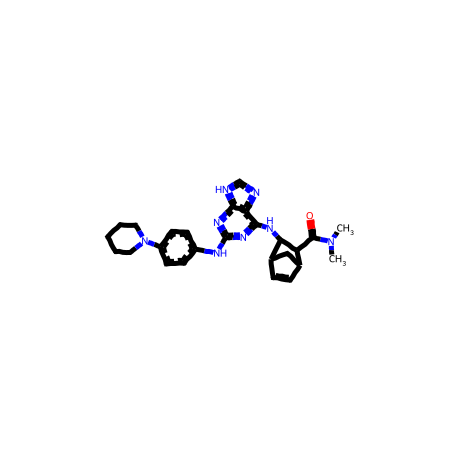 CN(C)C(=O)C1C2C=CC(C2)C1Nc1nc(Nc2ccc(N3CCCCC3)cc2)nc2[nH]cnc12